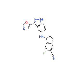 N#Cc1cc2c(cc1F)C(Nc1ccc3[nH]nc(-c4cnco4)c3c1)CC2